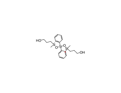 C[Si](C)(CCCO)O[Si](O[Si](C)(C)CCCO)(c1ccccc1)c1ccccc1